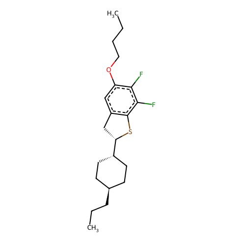 CCCCOc1cc2c(c(F)c1F)S[C@H]([C@H]1CC[C@H](CCC)CC1)C2